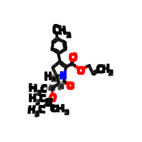 C=CCOC(=O)C1=C(c2ccc(C)cc2)C[C@@H]2[C@@H]([C@@H](C)O[Si](C)(C)C)C(=O)N12